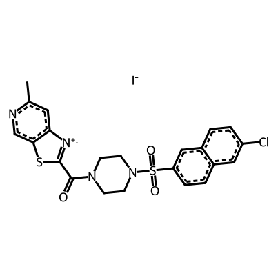 Cc1cc2c(cn1)SC(C(=O)N1CCN(S(=O)(=O)c3ccc4cc(Cl)ccc4c3)CC1)=[N+]2.[I-]